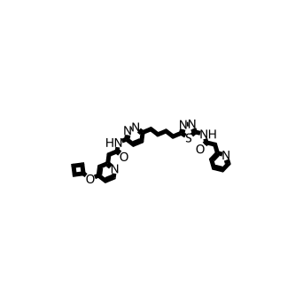 O=C(Cc1cc(OC2CCC2)ccn1)Nc1ccc(CCCCc2nnc(NC(=O)Cc3ccccn3)s2)nn1